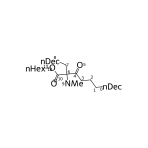 CCCCCCCCCCCCCC(=O)C(CCCCCCCCCCC)(NC)C(=O)OCCCCCC